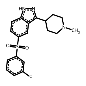 CN1CCC(c2n[nH]c3ccc(S(=O)(=O)c4cccc(F)c4)cc23)CC1